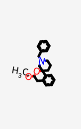 COC1Cc2ccccc2C2(CCCN(Cc3ccccc3)C2)O1